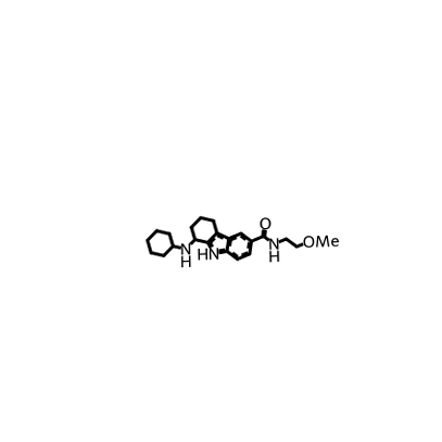 COCCNC(=O)c1ccc2[nH]c3c(c2c1)CCCC3NC1CCCCC1